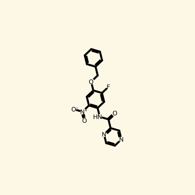 O=C(Nc1cc(F)c(OCc2ccccc2)cc1[N+](=O)[O-])c1cnccn1